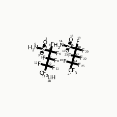 NS(=O)(=O)C(F)(F)C(F)(F)C(F)(F)C(F)(F)F.NS(=O)(=O)C(F)(F)C(F)(F)C(F)(F)C(F)(F)F.[LiH]